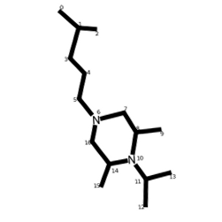 CC(C)CCCN1CC(C)N(C(C)C)C(C)C1